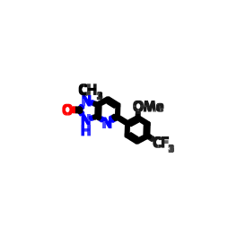 COc1cc(C(F)(F)F)ccc1-c1ccc2c(n1)[nH]c(=O)n2C